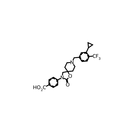 O=C(O)c1ccc(N2CC3(CCN(Cc4ccc(C(F)(F)F)c(C5CC5)c4)CC3)OC2=O)cc1